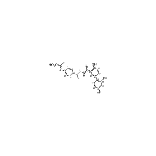 CC(Oc1ccc(C(C)CNC(=O)c2cc(-c3ccc(F)cc3F)ccc2O)cc1)C(=O)O